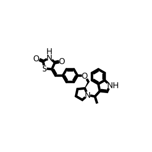 CC(c1c[nH]c2ccccc12)N1CCC[C@H]1COc1ccc(C=C2SC(=O)NC2=O)cc1